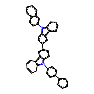 C1=CCc2c(c3cc(-c4ccc5c(c4)c4ccccc4n5-c4ccc5ccccc5c4)ccc3n2-c2ccc(-c3ccccc3)cc2)C=C1